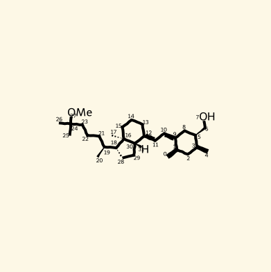 C=C1CC(=C)[C@H](CO)C/C1=C/C=C1\CCC[C@]2(C)[C@@H]([C@@H](C)CCCC(C)(C)OC)CC[C@@H]12